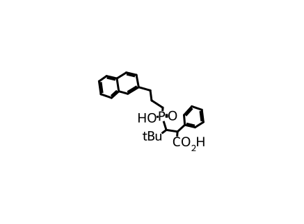 CC(C)(C)C(C(C(=O)O)c1ccccc1)P(=O)(O)CCCc1ccc2ccccc2c1